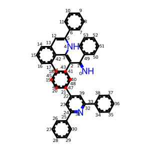 N=C(/C(=C1\NC(c2ccccc2)=Cc2cccc(-c3ccc(-c4cc(-c5ccccc5)nc(-c5ccccc5)c4)cc3)c21)c1ccccc1)c1ccccc1